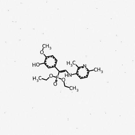 CCOP(=O)(OCC)C(=CNc1ccc(C)nc1C)c1ccc(OC)c(O)c1